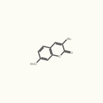 COc1ccc2cc(C(C)(C)C)c(=O)oc2c1